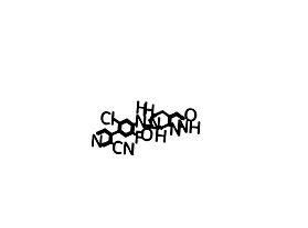 N#Cc1cnccc1-c1cc(F)c(NC(=O)N2[C@H]3CC[C@@H]2c2n[nH]c(=O)cc2C3)cc1Cl